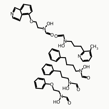 Cc1cccnc1CCCN(O)C=O.O=CN(O)CCCCc1ccccc1.O=CN(O)CCCc1ccccc1.O=CN(O)CCOc1cccc2cnccc12.O=CN(O)CCOc1ccccc1